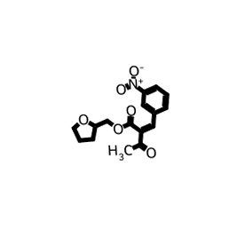 CC(=O)C(=Cc1cccc([N+](=O)[O-])c1)C(=O)OCC1CCCO1